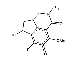 COc1c2n3c(c(I)c1=O)C(O)CN3CN(C)C2=O